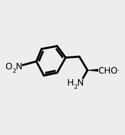 N[C@H]([C]=O)Cc1ccc([N+](=O)[O-])cc1